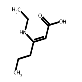 CCCC(=CC(=O)O)NCC